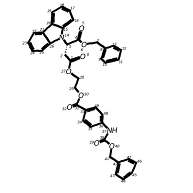 O=C(C[C@@H](C(=O)OCc1ccccc1)n1c2ccccc2c2ccccc21)OCCOC(=O)c1ccc(NC(=O)OCc2ccccc2)cc1